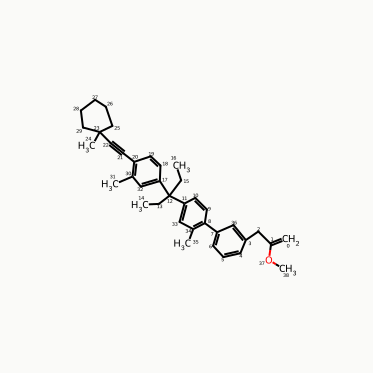 C=C(Cc1cccc(-c2ccc(C(CC)(CC)c3ccc(C#CC4(C)CCCCC4)c(C)c3)cc2C)c1)OC